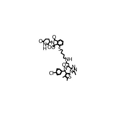 Cc1sc2c(c1C)C(c1ccc(Cl)cc1)=N[C@@H](CC(=O)NCCCCSc1cccc3c1C(=O)N(C1CCC(=O)NC1=O)C3=O)c1nnc(C)n1-2